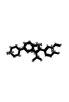 C=CN/C=C(\C=C/CC)c1[nH]c2ccc(C3CCNCC3)cc2c1C(C)C